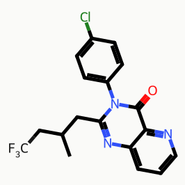 CC(Cc1nc2cccnc2c(=O)n1-c1ccc(Cl)cc1)CC(F)(F)F